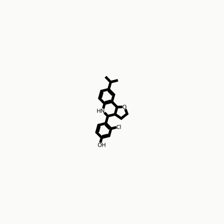 CC(C)c1ccc2c(c1)C1OCCC1C(c1ccc(O)cc1Cl)N2